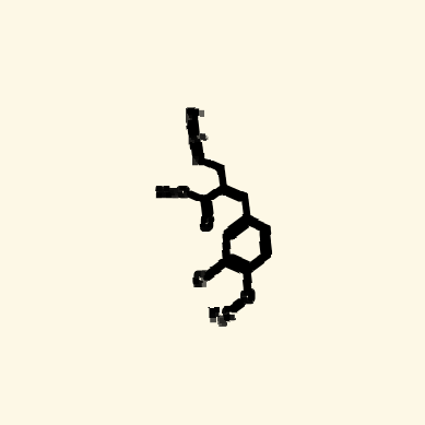 COC(=O)/C(=C\c1ccc(OC(F)(F)F)c(Cl)c1)CN=[N+]=[N-]